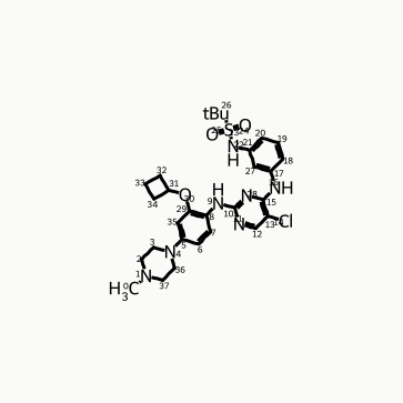 CN1CCN(c2ccc(Nc3ncc(Cl)c(Nc4cccc(NS(=O)(=O)C(C)(C)C)c4)n3)c(OC3CCC3)c2)CC1